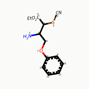 CCOC(=O)C(SC#N)C(N)COc1ccccc1